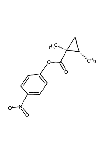 C[C@H]1C[C@]1(C)C(=O)Oc1ccc([N+](=O)[O-])cc1